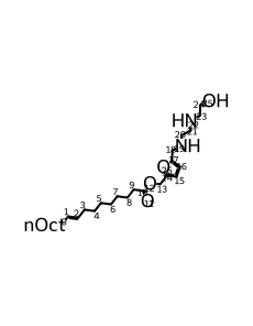 CCCCCCCCC=CCCCCCCCC(=O)OCc1ccc(CNCCNCCO)o1